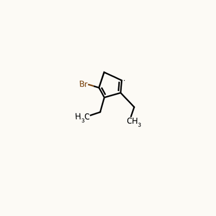 CCC1=[C]CC(Br)=C1CC